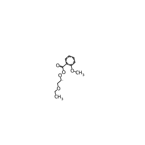 CCOC[CH]OOC(=O)c1ccccc1OC